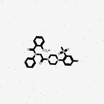 CS(=O)(=O)c1cc(F)ccc1N1CCN(C(=O)CN(C(=O)c2ccccc2C(=O)O)c2ccccc2)CC1